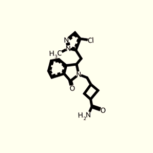 Cn1ncc(Cl)c1CC1c2ccccc2C(=O)N1CC1CC(C(N)=O)C1